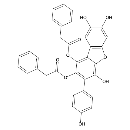 O=C(Cc1ccccc1)Oc1c(-c2ccc(O)cc2)c(O)c2oc3cc(O)c(O)cc3c2c1OC(=O)Cc1ccccc1